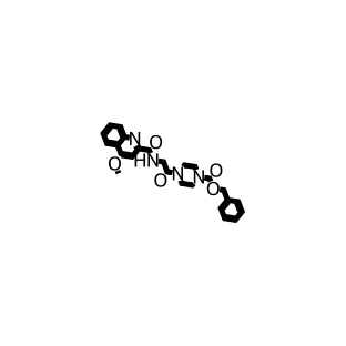 COc1cc(C(=O)NCC(=O)N2CCN(C(=O)OCc3ccccc3)CC2)nc2ccccc12